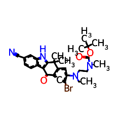 CCN(CCN(C)C(=O)OC(C)(C)C)c1cc2c(cc1Br)C(=O)c1c([nH]c3cc(C#N)ccc13)C2(C)C